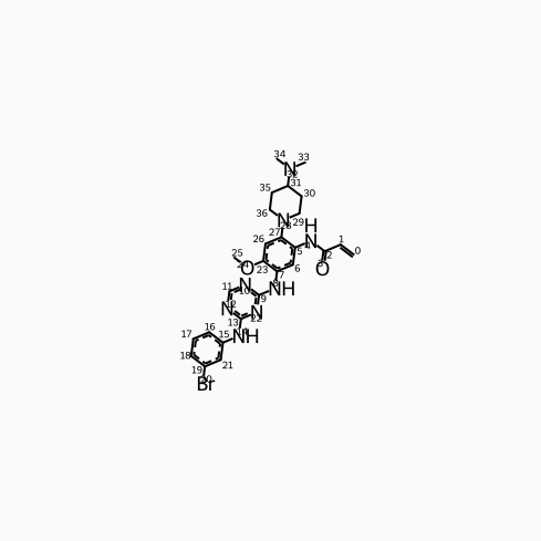 C=CC(=O)Nc1cc(Nc2ncnc(Nc3cccc(Br)c3)n2)c(OC)cc1N1CCC(N(C)C)CC1